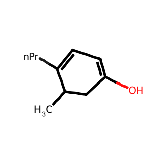 CCCC1=CC=C(O)CC1C